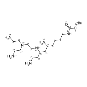 CC(C)(C)OC(=O)NCCCCC(N)CC(CCN)NCCN(CCN)CCN